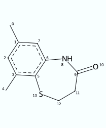 Cc1cc(C)c2c(c1)NC(=O)CCS2